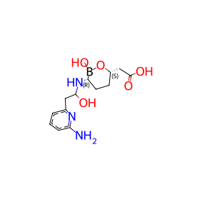 Nc1cccc(CC(O)N[C@H]2CC[C@@H](CC(=O)O)OB2O)n1